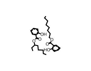 CCCCCC(CC)OC(=O)c1ccccc1O.CCCCCCCCOC(=O)c1ccccc1O